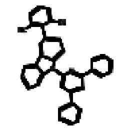 N#Cc1cccc(C#N)c1-c1ccc2c(c1)c1ccccc1n2-c1cc(-c2ccccc2)cc(-c2ccccc2)n1